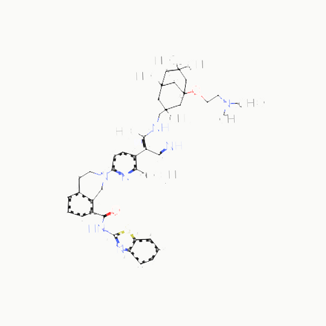 C/C(NCC1(C)CC2(C)CC(C)(C)CC(OCCN(C)C=O)(C1)C2)=C(/C=N)c1ccc(N2CCc3cccc(C(=O)Nc4nc5ccccc5s4)c3C2)nc1C(=O)O